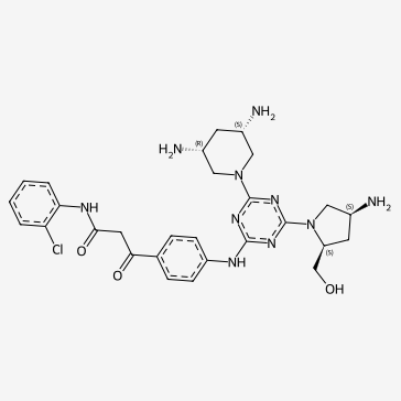 N[C@@H]1C[C@H](N)CN(c2nc(Nc3ccc(C(=O)CC(=O)Nc4ccccc4Cl)cc3)nc(N3C[C@@H](N)C[C@H]3CO)n2)C1